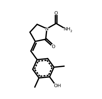 Cc1cc(C=C2CCN(C(N)=O)C2=O)cc(C)c1O